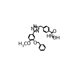 COc1ccc(-c2nnn(Cc3ccc(C(=O)NO)cc3)n2)cc1OCc1ccccc1